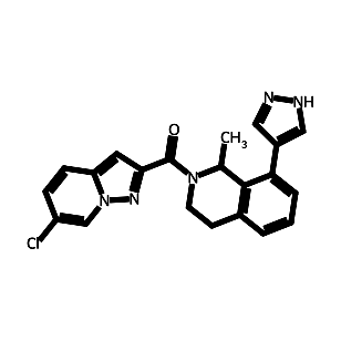 CC1c2c(cccc2-c2cn[nH]c2)CCN1C(=O)c1cc2ccc(Cl)cn2n1